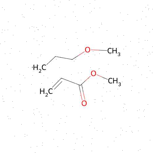 C=CC(=O)OC.[CH2]CCOC